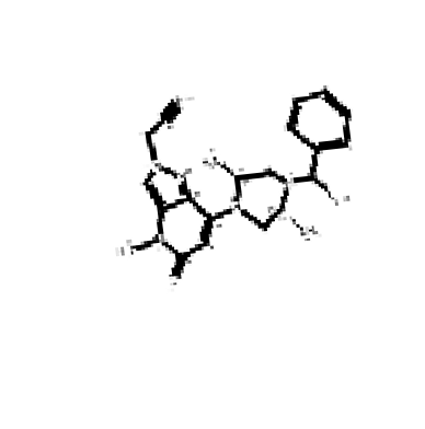 CC(c1ccccc1)N1C[C@H](C)N(c2cc(=O)n(C)c3cn(CC#N)nc23)C[C@H]1C